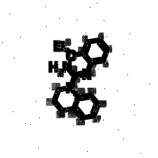 CCOc1ccccc1N=C(N)N1CCCc2ccccc21